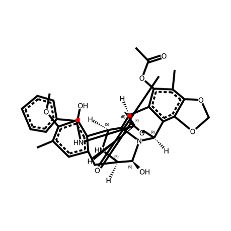 COc1c(C)cc2c(c1O)[C@@H]1N[C@H](C2)[C@H](O)N2C1[C@@H]1SC[C@H](NCc3ccccc3)C(=O)OC[C@H]2c2c3c(c(C)c(OC(C)=O)c21)OCO3